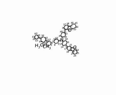 CC1(C)c2ccc(-c3ccc(N(c4ccc(-c5ccc6c(c5)oc5ccccc56)cc4)c4ccc(-c5cccc6c5oc5ccccc56)cc4)cc3)cc2-c2ccc(-c3ccccc3)cc21